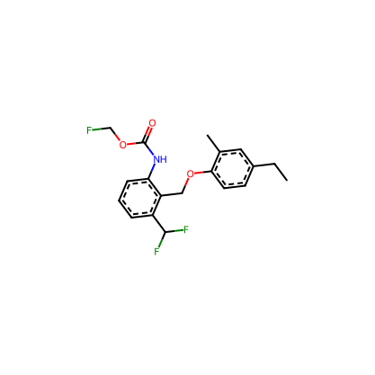 CCc1ccc(OCc2c(NC(=O)OCF)cccc2C(F)F)c(C)c1